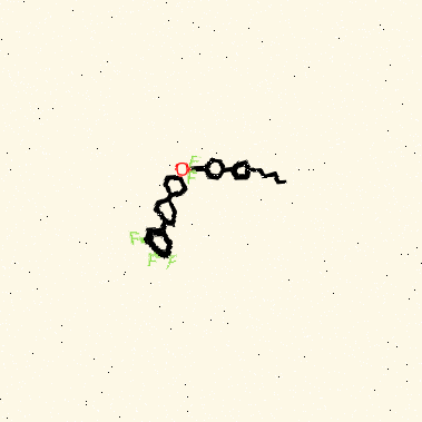 CCCCCc1ccc(C2CCC(C(F)(F)OC3CCC(C4CCC(c5cc(F)c(F)c(F)c5)CC4)CC3)CC2)cc1